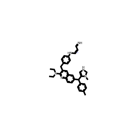 CCN(CC)c1nc2ccc(C(C3=CNCN3C)c3ccc(C)cc3)cc2cc1Cc1ccc(N/C=C\C=N)cc1